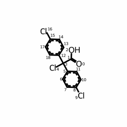 O=C(O)C(Cl)(c1ccc(Cl)cc1)c1ccc(Cl)cc1